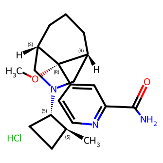 CO[C@@]1(c2ccnc(C(N)=O)c2)[C@@H]2CCC[C@H]1CN([C@H]1CC[C@@H]1C)C2.Cl